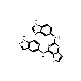 c1nc2cc(Nc3nc(Nc4ccc5[nH]ncc5c4)c4sccc4n3)ccc2[nH]1